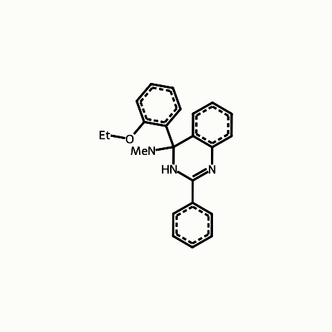 CCOc1ccccc1C1(NC)NC(c2ccccc2)=Nc2ccccc21